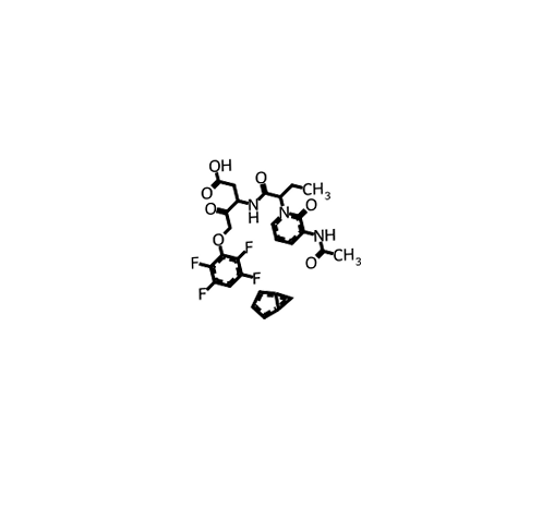 CCC(C(=O)NC(CC(=O)O)C(=O)COc1c(F)c(F)cc(F)c1F)n1cccc(NC(C)=O)c1=O.c1cc2cc-2c1